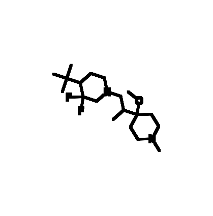 COC1(C(C)CN2CCC(C(C)(C)C)C(F)(F)C2)CCN(C)CC1